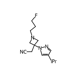 CC(C)c1cnn(C2(CC#N)CN(CCCF)C2)c1